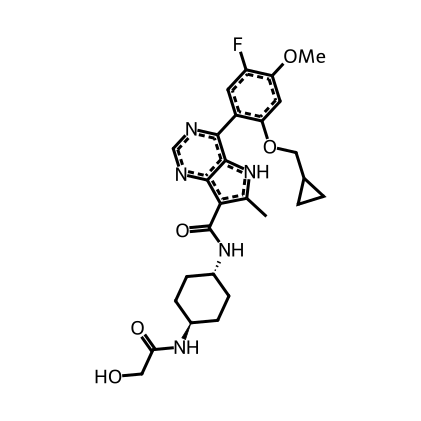 COc1cc(OCC2CC2)c(-c2ncnc3c(C(=O)N[C@H]4CC[C@H](NC(=O)CO)CC4)c(C)[nH]c23)cc1F